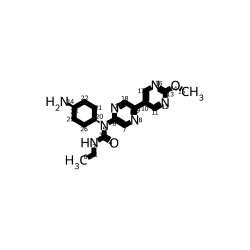 CCNC(=O)N(c1cnc(-c2cnc(OC)nc2)cn1)[C@H]1CC[C@H](N)CC1